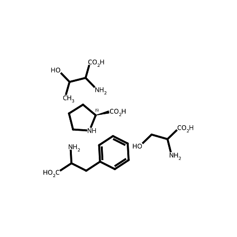 CC(O)C(N)C(=O)O.NC(CO)C(=O)O.NC(Cc1ccccc1)C(=O)O.O=C(O)[C@@H]1CCCN1